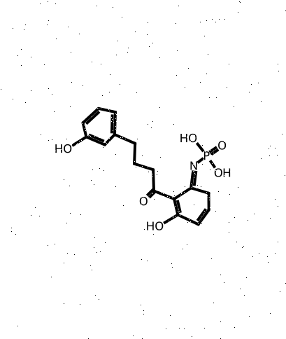 O=C(CCCc1cccc(O)c1)C1=C(O)C=CCC1=NP(=O)(O)O